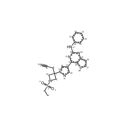 CCS(=O)(=O)N1CC(CC#N)(n2cc(-c3nc(Nc4ccccc4)nc4ccsc34)cn2)C1